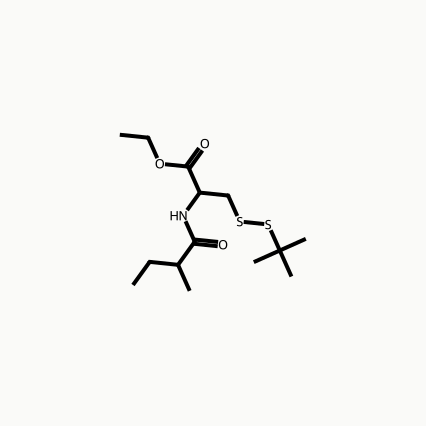 CCOC(=O)C(CSSC(C)(C)C)NC(=O)C(C)CC